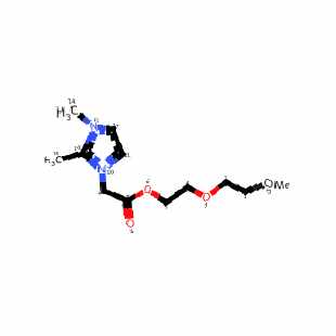 COCCOCCOC(=O)C[n+]1ccn(C)c1C